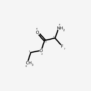 CCOC(=O)C(N)F